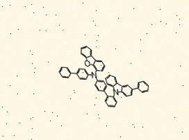 c1ccc(-c2ccc(N(c3ccc(-c4ccccc4-n4c5ccccc5c5cc(-c6ccccc6)ccc54)cc3)c3cccc4c3oc3ccccc34)cc2)cc1